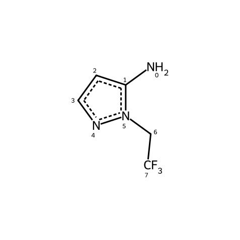 Nc1ccnn1CC(F)(F)F